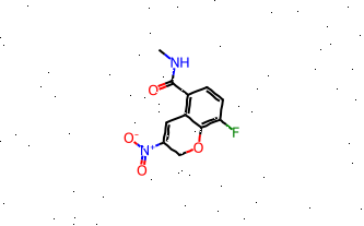 CNC(=O)c1ccc(F)c2c1C=C([N+](=O)[O-])CO2